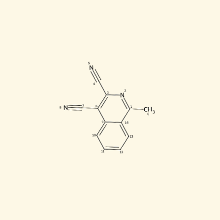 Cc1nc(C#N)c(C#N)c2ccccc12